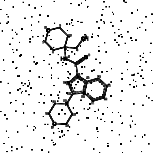 O=C(NC1(CO)CCOCC1)c1nc(N2CCOCC2)n2ccccc12